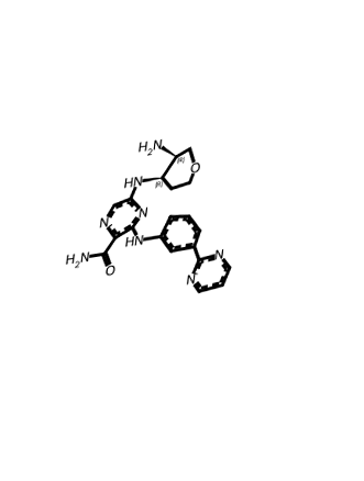 NC(=O)c1ncc(N[C@@H]2CCOC[C@@H]2N)nc1Nc1cccc(-c2ncccn2)c1